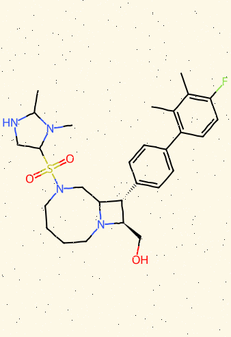 Cc1c(F)ccc(-c2ccc([C@H]3C4CN(S(=O)(=O)C5CNC(C)N5C)CCCCN4[C@@H]3CO)cc2)c1C